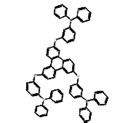 c1ccc(N(c2ccccc2)c2cccc(Oc3ccc4c(c3)c3ccc(Oc5cccc(N(c6ccccc6)c6ccccc6)c5)cc3c3ccc(Oc5cccc(N(c6ccccc6)c6ccccc6)c5)cc43)c2)cc1